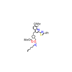 C=CCCCCN(C)COC[C@@H]1C[C@H](Cc2cc(-c3nc(C(C)C)cs3)nc3c(C)c(OC)ccc23)C[C@H]1C(=O)OC